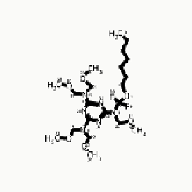 CCCCCCCOC(F)(F)N(COC)c1nc(N(COC)COC)nc(N(COC)COC)n1